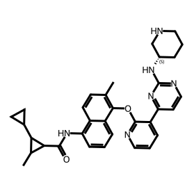 Cc1ccc2c(NC(=O)C3C(C)C3C3CC3)cccc2c1Oc1ncccc1-c1ccnc(N[C@H]2CCCNC2)n1